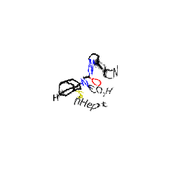 CCCCCCCSC12CC3C[C@H](C1)CC(N(CC(=O)N1CCC[C@H]1C#N)C(=O)O)(C3)C2